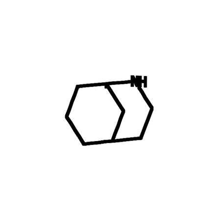 C1C[C]2CC(C1)CCN2